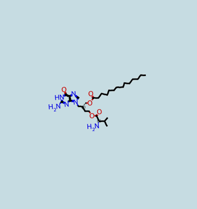 CCCCCCCCCCCCCC(=O)OC[C@H](CCOC(=O)[C@@H](N)C(C)C)Cn1cnc2c(=O)[nH]c(N)nc21